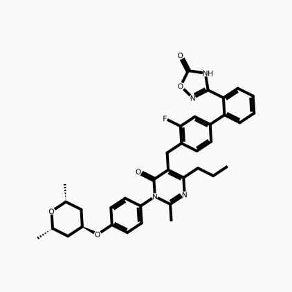 CCCc1nc(C)n(-c2ccc(O[C@@H]3C[C@@H](C)O[C@@H](C)C3)cc2)c(=O)c1Cc1ccc(-c2ccccc2-c2noc(=O)[nH]2)cc1F